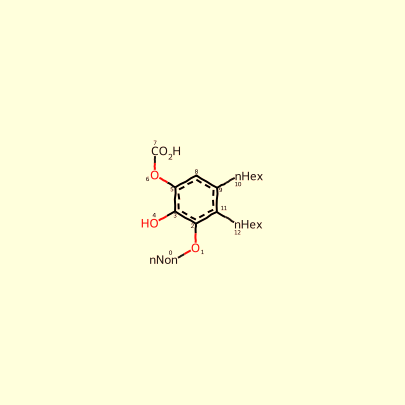 CCCCCCCCCOc1c(O)c(OC(=O)O)cc(CCCCCC)c1CCCCCC